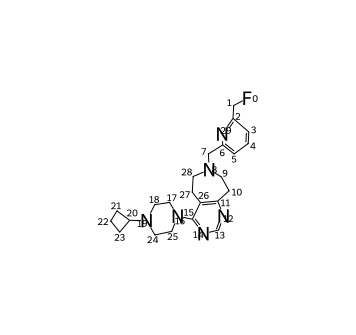 FCc1cccc(CN2CCc3ncnc(N4CCN(C5CCC5)CC4)c3CC2)n1